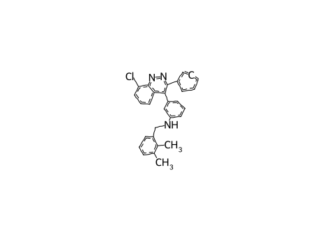 Cc1cccc(CNc2cccc(-c3c(-c4ccccc4)nnc4c(Cl)cccc34)c2)c1C